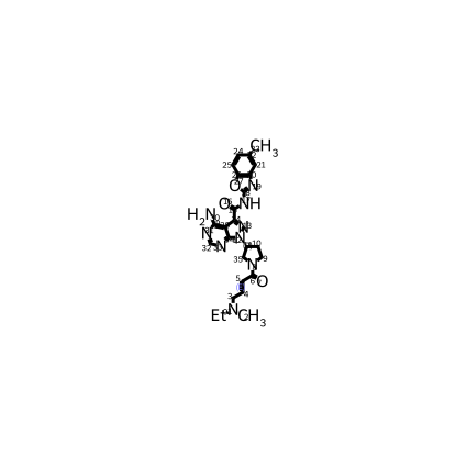 CCN(C)C/C=C/C(=O)N1CC[C@@H](n2nc(C(=O)Nc3nc4cc(C)ccc4o3)c3c(N)ncnc32)C1